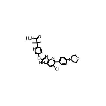 CC(C)(C(N)=O)c1ccc(Oc2nc3nc(-c4ccc(N5CCOCC5)cc4)c(Cl)cc3[nH]2)cn1